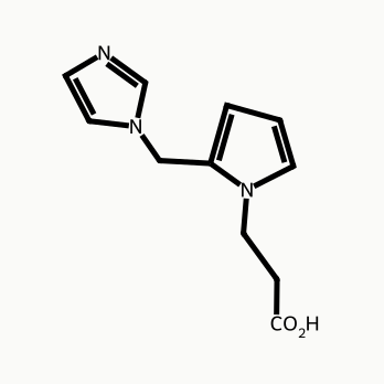 O=C(O)CCn1cccc1Cn1ccnc1